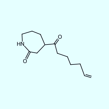 C=CCCCCC(=O)C1CCCNC(=O)C1